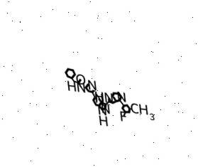 Cc1cc(F)cc(-c2nccc3[nH]c(-c4n[nH]c5ccc(-c6cncc(NC(=O)Cc7ccccc7)c6)nc45)cc23)c1